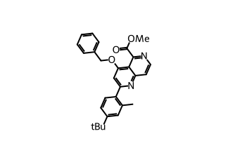 COC(=O)c1nccc2nc(-c3ccc(C(C)(C)C)cc3C)cc(OCc3ccccc3)c12